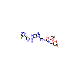 CC(C)(C)OC(=O)N(CC(=O)NCCn1cnc2cnc(Nc3ncc(-c4ncncc4F)s3)cc21)C[C@H](O)CC1CS1